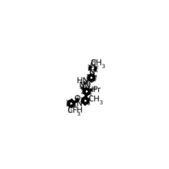 Cc1ccc(NC(=O)c2cccc(C(F)(F)F)c2)cc1-c1cc(C(C)C)c2nc(Nc3cccc(N4CCN(C)CC4)c3)ncc2c1